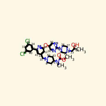 COC(=O)N(C)C1CCN(Cc2cc(Oc3cnc(N4CCN(C[C@@H](C)O)CC4)nc3)nc(-c3cc(Cl)cc(Cl)c3)c2)CC1